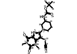 Cn1c(=O)c2[nH]c(N3CCCC(NC(=O)OC(C)(C)C)C3)c(SC#N)c2n(C)c1=O